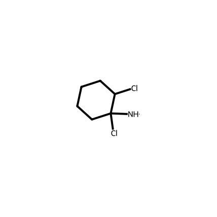 [NH]C1(Cl)CCCCC1Cl